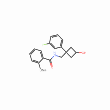 COc1ccccc1C(=O)NCC1(c2cccc(F)c2)CC(O)C1